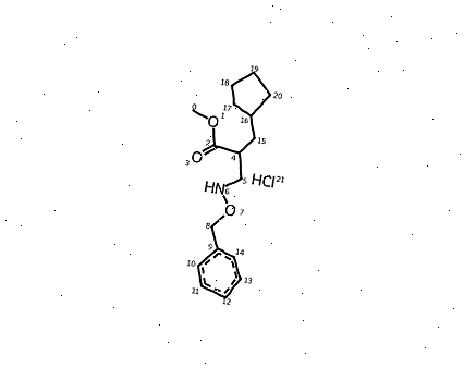 COC(=O)C(CNOCc1ccccc1)CC1CCCC1.Cl